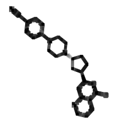 N#Cc1ccc(N2CCN([C@@H]3CC[C@@H](c4cc5ncccc5c(=O)o4)C3)CC2)cc1